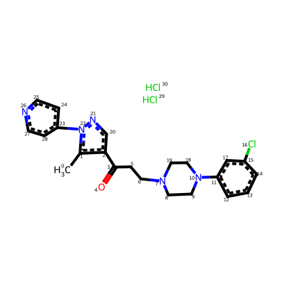 Cc1c(C(=O)CCN2CCN(c3cccc(Cl)c3)CC2)cnn1-c1ccncc1.Cl.Cl